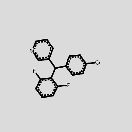 Fc1cccc(F)c1C(c1ccc(Cl)cc1)c1cccnc1